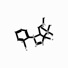 COCC1N(c2ccccc2F)N=NC1(I)[Si](C)(C)C